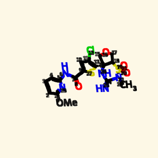 COc1cccc(NC(=O)c2cc(Cl)c([C@]34COCC3S(=O)(=O)N(C)C(=N)N4)s2)n1